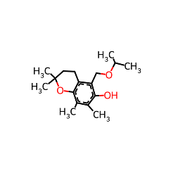 Cc1c(C)c2c(c(COC(C)C)c1O)CCC(C)(C)O2